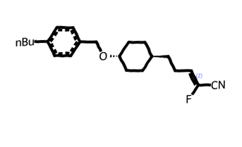 CCCCc1ccc(CO[C@H]2CC[C@H](CC/C=C(\F)C#N)CC2)cc1